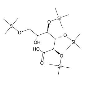 C[Si](C)(C)OC[C@@H](O)[C@@H](O[Si](C)(C)C)[C@H](O[Si](C)(C)C)[C@@H](O[Si](C)(C)C)C(=O)O